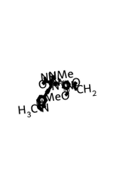 C=CC(=O)N1C[C@@H](Cn2nc(C#Cc3ccn4c(C)cnc4c3)c(C(N)=O)c2NC)C[C@@H]1COC